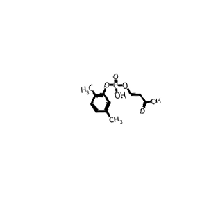 Cc1ccc(C)c(OP(=O)(O)OCCC(=O)O)c1